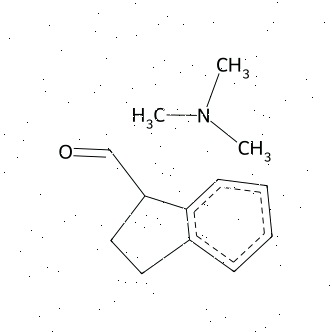 CN(C)C.O=CC1CCc2ccccc21